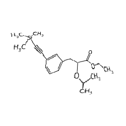 CCOC(=O)C(Cc1cccc(C#C[Si](C)(C)C)c1)OC(C)C